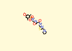 COc1cc(C)c(S(=O)(=O)N(C)Cc2nc(C(=O)N(C)Cc3nc(CN4CCCC4)cs3)co2)c(C)c1